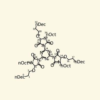 CCCCCCCCCCCCOC1C(=O)N(c2nc(N3C(=O)C(OCCCCCCCCCCCC)N(CCCCCCCC)C3=O)nc(N3C(=O)C(OCCCCCCCCCCCC)N(CCCCCCCC)C3=O)n2)C(=O)N1CCCCCCCC